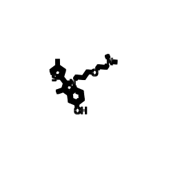 Cc1csc(-c2c(C)c3cc(O)ccc3n2CCCOCCN(C)C)c1